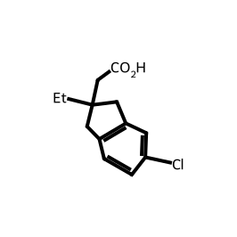 CCC1(CC(=O)O)Cc2ccc(Cl)cc2C1